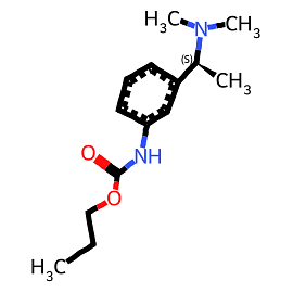 CCCOC(=O)Nc1cccc([C@H](C)N(C)C)c1